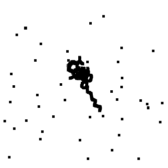 CCCCCCCCOC(=O)CS(=O)(=O)Nc1c(C(C)C)cccc1C(C)C